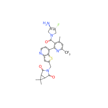 Cc1cc(C(F)(F)F)nc(-c2ccnc3cc(CN4C(=O)C5C(C4=O)C5(C)C)sc23)c1C(=O)N1C[C@@H](N)[C@H](F)C1